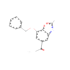 COC(=O)c1cc(OCc2ccccc2)c2oc(C)nc2c1